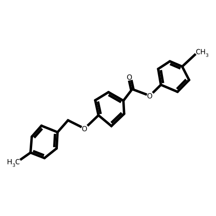 Cc1ccc(COc2ccc(C(=O)Oc3ccc(C)cc3)cc2)cc1